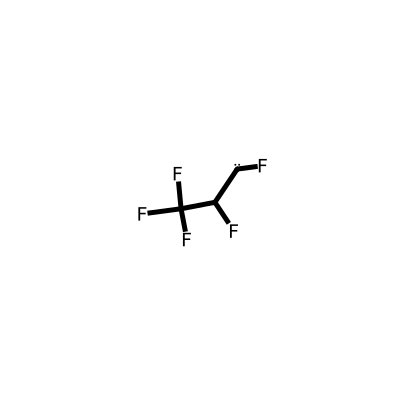 F[C]C(F)C(F)(F)F